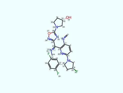 C=Nc1ccc(N2C[C@@H](F)C[C@@H]2c2cc(F)ccc2F)nc1/C(=N\C)c1noc(N2CC[C@H](O)C2)n1